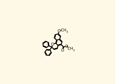 COC(=O)c1cc2cc(OC)ccc2c2c1C=CC(c1ccccc1)(c1ccccc1)O2